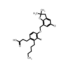 CCCCCc1c(CCC(=O)O)ccc(OCc2cc(Cl)cc3c2OC(C)(C)C3)c1F